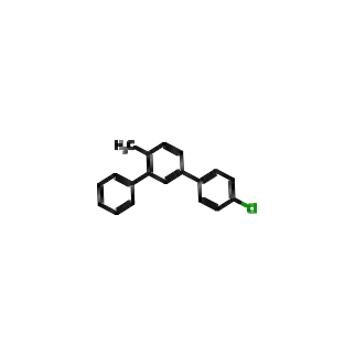 Cc1ccc(-c2ccc(Cl)cc2)cc1-c1ccccc1